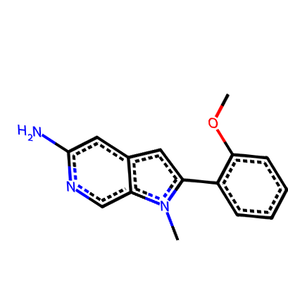 COc1ccccc1-c1cc2cc(N)ncc2n1C